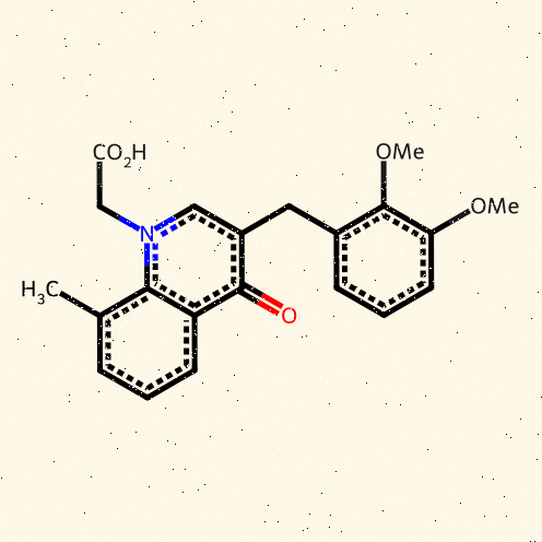 COc1cccc(Cc2cn(CC(=O)O)c3c(C)cccc3c2=O)c1OC